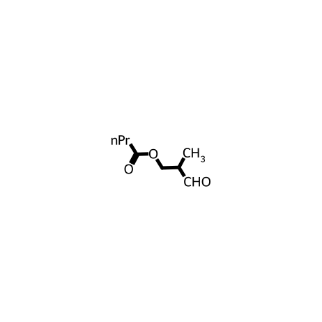 CCCC(=O)OCC(C)C=O